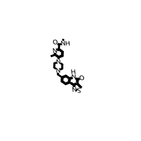 CNC(=O)c1ccc(N2CCN(Cc3ccc4c(c3)[nH]c(=O)c3csnc34)CC2)c(C)n1